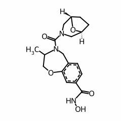 CC1COc2cc(C(=O)NO)ccc2CN1C(=O)N1C[C@@H]2CC[C@@H](C1)O2